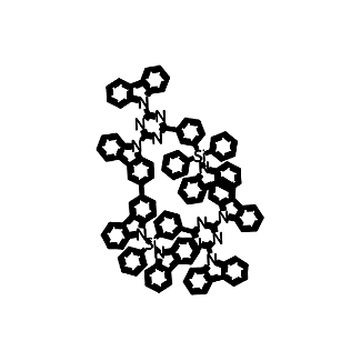 c1ccc([Si](c2ccccc2)(c2cccc(-c3nc(-n4c5ccccc5c5ccccc54)nc(-n4c5ccccc5c5cc(-c6ccc7c(c6)c6ccccc6n7[Si](c6ccccc6)(c6cccc(-c7nc(-n8c9ccccc9c9ccccc98)nc(-n8c9ccccc9c9ccccc98)n7)c6)n6c7ccccc7c7ccccc76)ccc54)n3)c2)n2c3ccccc3c3ccccc32)cc1